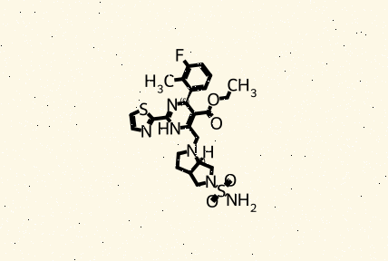 CCOC(=O)C1=C(CN2CCC3CN(S(N)(=O)=O)C[C@H]32)NC(c2nccs2)=N[C@H]1c1cccc(F)c1C